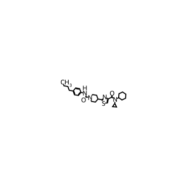 CCCCc1ccc(NC(=O)N2CCC(c3nc(C(=O)N(C4CCCCC4)C4CC4)cs3)CC2)cc1